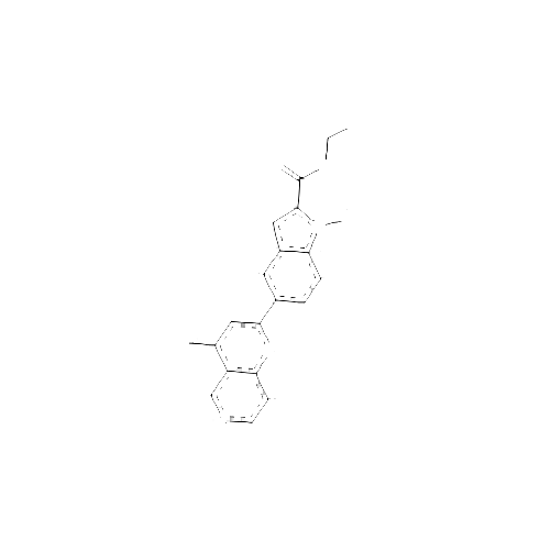 CCOC(=O)c1cc2cc(-c3cc(Cl)c4cnccc4n3)ccc2n1C